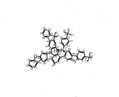 Cc1cc(-c2cc3sc4cc(C(C)(C)C)ccc4c3cc2Nc2ccc(C(C)(C)C)cc2)c2c3c1c1cc4c(cc1n3-c1cc3c(cc1B2)C(C)(C)c1ccccc1-3)oc1ccccc14